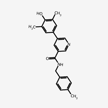 Cc1ccc(CNC(=O)c2cncc(-c3cc(C)c(O)c(C)c3)c2)cc1